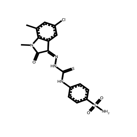 Cc1cc(Cl)cc2c1N(C)C(=O)C2=NNC(=S)Nc1ccc(S(N)(=O)=O)cc1